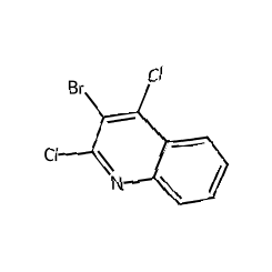 Clc1nc2ccccc2c(Cl)c1Br